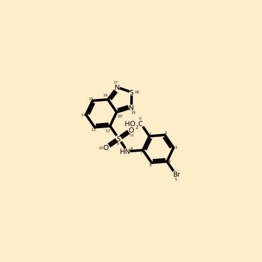 O=C(O)c1ccc(Br)cc1NS(=O)(=O)c1cccc2nsnc12